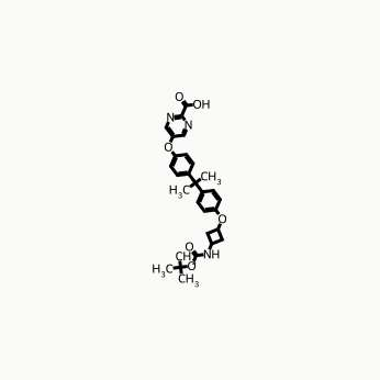 CC(C)(C)OC(=O)NC1CC(Oc2ccc(C(C)(C)c3ccc(Oc4cnc(C(=O)O)nc4)cc3)cc2)C1